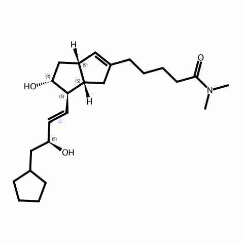 CN(C)C(=O)CCCCC1=C[C@H]2C[C@@H](O)[C@H](/C=C/[C@@H](O)CC3CCCC3)[C@H]2C1